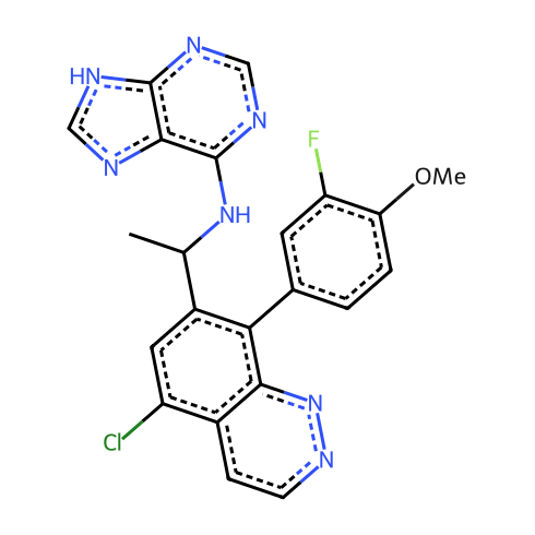 COc1ccc(-c2c(C(C)Nc3ncnc4[nH]cnc34)cc(Cl)c3ccnnc23)cc1F